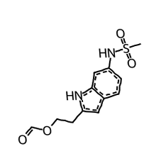 CS(=O)(=O)Nc1ccc2cc(CCOC=O)[nH]c2c1